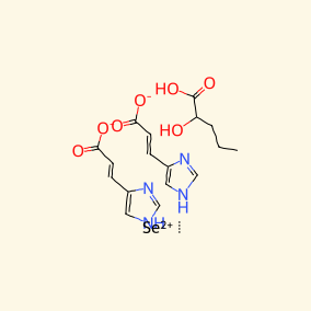 CCCC(O)C(=O)O.O=C([O-])C=Cc1c[nH]cn1.O=C([O-])C=Cc1c[nH]cn1.[Se+2]